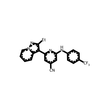 CCc1nn2ccccc2c1-c1cc(C#N)cc(Nc2ccc(C(F)(F)F)cc2)n1